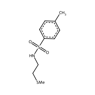 CSCCNS(=O)(=O)c1ccc(C)cc1